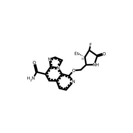 CC[C@H]1C(COc2nccc3cc(C(N)=O)c4nccn4c23)NC(=O)C1F